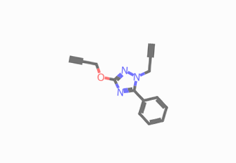 C#CCOc1nc(-c2ccccc2)n(CC#C)n1